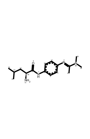 C/C(=N\c1ccc(NC(=O)[C@@H](N)CC(C)C)cc1)N(C)C